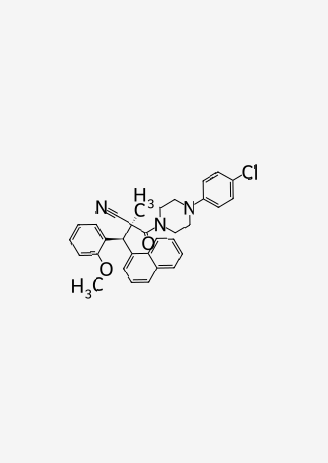 COc1ccccc1[C@H](c1cccc2ccccc12)[C@@](C)(C#N)C(=O)N1CCN(c2ccc(Cl)cc2)CC1